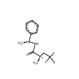 C[C@H](CC(F)(F)F)C(=O)N[C@@H](C)c1ccccc1